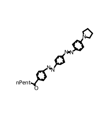 CCCCCC(=O)c1ccc(N=Nc2ccc(N=Nc3ccc(N4CCCC4)cc3)cc2)cc1